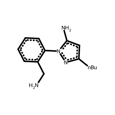 CCCCc1cc(N)n(-c2ccccc2CN)n1